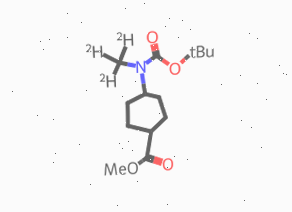 [2H]C([2H])([2H])N(C(=O)OC(C)(C)C)C1CCC(C(=O)OC)CC1